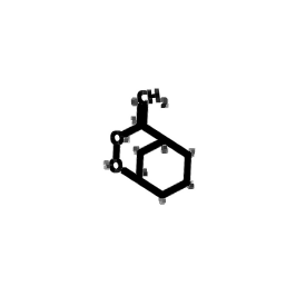 C=C1OOC2CCCC1C2